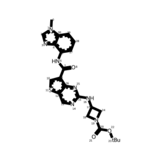 Cn1cnc2c(NC(=O)c3csc4cnc(NC5CN(C(=O)OC(C)(C)C)C5)nc34)cccc21